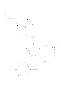 CCOC(=O)C1(NC(=O)c2nc(-c3cc(Cl)c(F)cc3F)n3c2CN(C)CCC3)CC1